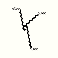 CCCCCCCCCCCCCCCCCCC[n+]1ccc(CCCCCCCCCCCCCCCCCC)c(CCCCCCCCCCCCCCCCCC)c1